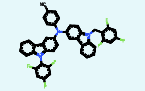 N#Cc1ccc(N(c2ccc3c(c2)c2ccccc2n3Cc2c(F)cc(F)cc2F)c2ccc3c(c2)c2ccccc2n3-c2c(F)cc(F)cc2F)cc1